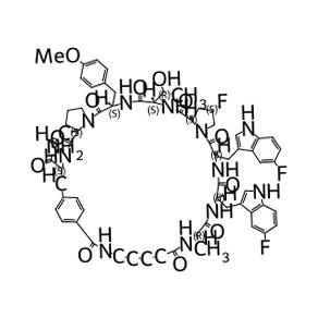 COc1ccc(C[C@@H]2NC(=O)[C@H]([C@@H](C)O)NC(=O)[C@@H]3C[C@H](F)CN3C(=O)[C@H](Cc3c[nH]c4ccc(F)cc34)NC(=O)[C@H](Cc3c[nH]c4ccc(F)cc34)NC(=O)[C@@H](C)NC(=O)CCCCNC(=O)c3ccc(cc3)C[C@@H](C(N)=O)NC(=O)[C@]3(C)CCCN3C2=O)cc1